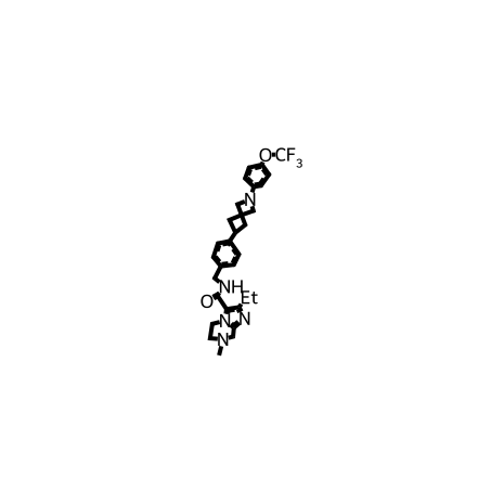 CCc1nc2n(c1C(=O)NCc1ccc(C3CC4(C3)CN(c3ccc(OC(F)(F)F)cc3)C4)cc1)CCN(C)C2